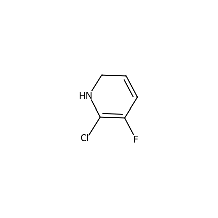 FC1=C(Cl)NCC=C1